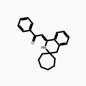 O=C(/C=C1\NC2(CCCCCC2)Cc2ccccc21)c1ccccc1